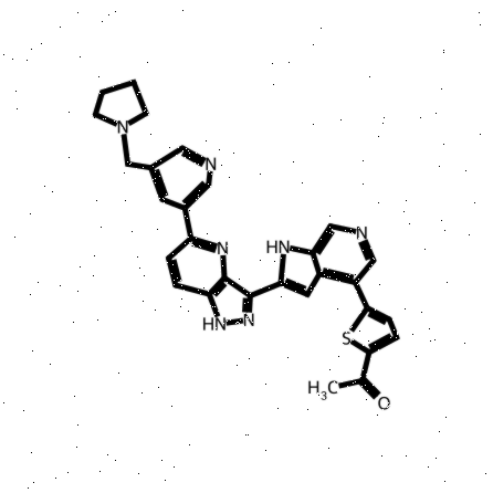 CC(=O)c1ccc(-c2cncc3[nH]c(-c4n[nH]c5ccc(-c6cncc(CN7CCCC7)c6)nc45)cc23)s1